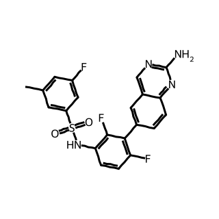 Cc1cc(F)cc(S(=O)(=O)Nc2ccc(F)c(-c3ccc4nc(N)ncc4c3)c2F)c1